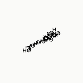 C=C(CO)COCCOCCOc1ccc2c(c1)C(=O)N(C1CCC(=O)NC1=O)C2=O